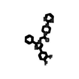 O=C(Cn1cc(-c2ccc(F)c(F)c2)nc1-c1ccccc1)N1CCN(c2ncccn2)CC1